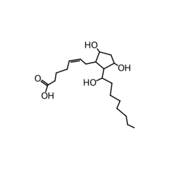 CCCCCCCC(O)C1C(O)CC(O)C1C/C=C\CCCC(=O)O